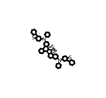 C[Si](C)(C)C1([Si](C)(C)C)c2c(ccc3cc(N(c4ccccc4)c4ccc5sc6ccccc6c5c4)ccc23)-c2c1c1ccc(N(c3ccccc3)c3ccc4sc5ccccc5c4c3)cc1c1ccccc21